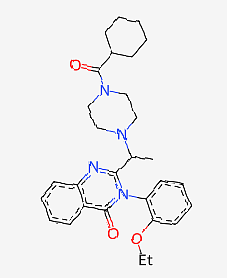 CCOc1ccccc1-n1c(C(C)N2CCN(C(=O)C3CCCCC3)CC2)nc2ccccc2c1=O